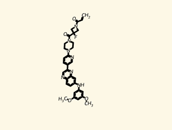 C=CC(=O)N1CC(F)(C(=O)N2CCN(c3ccc(-c4cnc5ccc(Nc6cc(OC)cc(OC)c6)cc5n4)cn3)CC2)C1